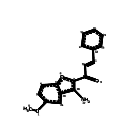 COc1ccc2oc(C(=O)/C=C/c3ccccc3)c(N)c2c1